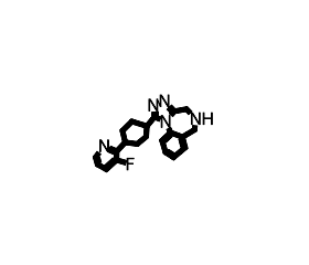 Fc1cccnc1C1CCC(c2nnc3n2-c2ccccc2CNC3)CC1